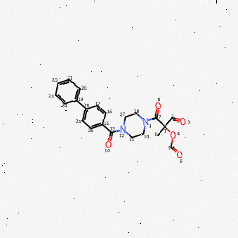 CC(C=O)(OC=O)C(=O)N1CCN(C(=O)c2ccc(-c3ccccc3)cc2)CC1